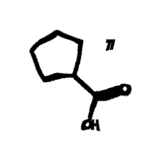 O=C(O)C1CCCC1.[Ti]